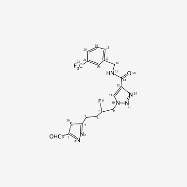 O=Cc1nnc(CCC(F)Cn2cc(C(=O)NCc3cccc(C(F)(F)F)c3)nn2)s1